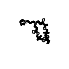 C=CC(=O)OCC(C)(C)COC(C)C(=O)CCN(CCCn1ccnc1)CCC(=O)OCC(C)(C)CO